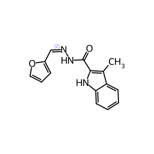 Cc1c(C(=O)N/N=C\c2ccco2)[nH]c2ccccc12